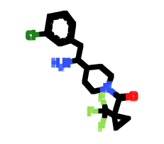 NC(Cc1cccc(Cl)c1)C1CCN(C(=O)C2(C(F)(F)F)CC2)CC1